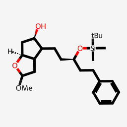 COC1CC2C(CC[C@H](CCc3ccccc3)O[Si](C)(C)C(C)(C)C)[C@H](O)C[C@@H]2O1